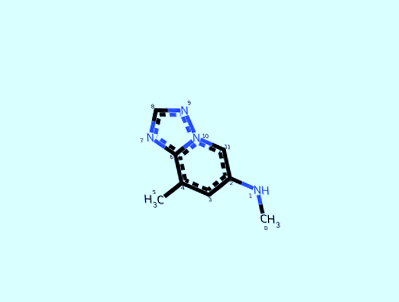 CNc1cc(C)c2ncnn2c1